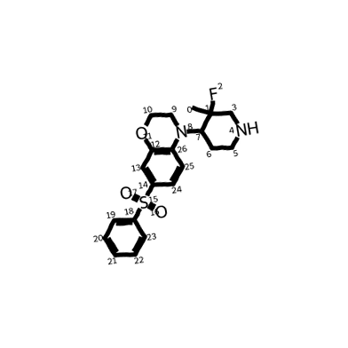 CC1(F)CNCCC1N1CCOc2cc(S(=O)(=O)c3ccccc3)ccc21